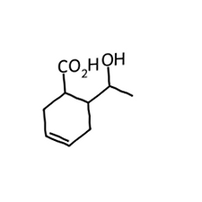 CC(O)C1CC=CCC1C(=O)O